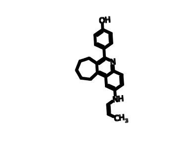 C/C=C\Nc1ccc2nc(-c3ccc(O)cc3)c3c(c2c1)CCCCC3